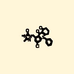 Cc1nn(Cc2cc(Cl)ccc2C(=O)C2=C(Sc3ccccc3)CCCC2=O)c(=O)n1C